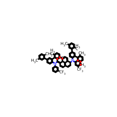 Cc1ccc(C)c(-c2ccc(N(C3=C4C=CC5=C6C(=CC=C(C=C3)C46)C(N(c3cccc(C(F)(F)F)c3)c3ccc(-c4cc(C)ccc4C)cc3-c3cc(C)ccc3C)C=C5)c3cccc(C(F)(F)F)c3)c(-c3cc(C)ccc3C)c2)c1